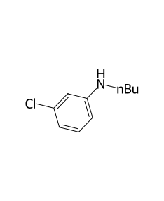 CCCCNc1cccc(Cl)c1